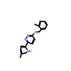 CC1=CC=C(c2ccc(SCc3ccccc3C)nn2)NC1